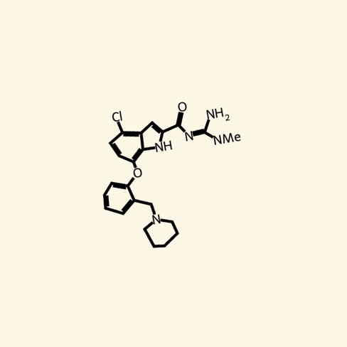 CNC(N)=NC(=O)c1cc2c(Cl)ccc(Oc3ccccc3CN3CCCCC3)c2[nH]1